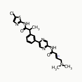 CC(C(=O)Nc1ncc(Cl)s1)c1cccc(-c2cnc(NC(=O)/C=C/CN(C)C)cn2)c1